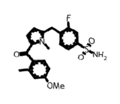 COc1ccc(C(=O)c2ccc(Cc3ccc(S(N)(=O)=O)cc3F)n2C)c(C)c1